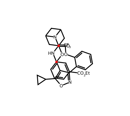 CCOC(=O)c1cccc(NC(=O)N2C3CC(OCc4c(-c5ccccc5OC(F)(F)F)noc4C4CC4)CC2C3)c1